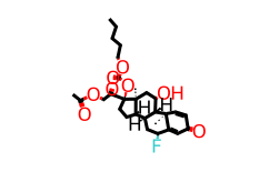 CCCCCOC(=O)O[C@]1(C(=O)COC(C)=O)CC[C@H]2[C@@H]3C[C@H](F)C4=CC(=O)C=C[C@]4(C)[C@H]3C(O)C[C@@]21C